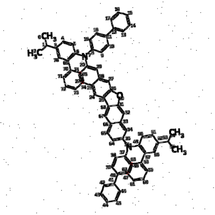 CC(C)c1ccc(N(c2ccc(-c3ccccc3)cc2)c2ccc3cc4c(cc3c2)oc2cc3cc(N(c5ccc(-c6ccccc6)cc5)c5ccc(C(C)C)cc5-c5ccccc5)ccc3cc24)c(-c2ccccc2)c1